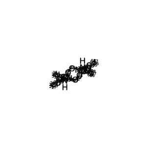 O=C(CN1CCOCCOCCN(CC(=O)NC(CC(=O)OCc2ccccc2)C(=O)OCc2ccccc2)CCOCCOCC1)NC(CC(=O)OCc1ccccc1)C(=O)OCc1ccccc1